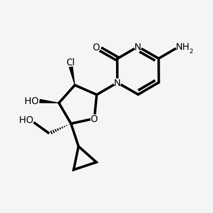 Nc1ccn(C2O[C@@](CO)(C3CC3)[C@@H](O)[C@H]2Cl)c(=O)n1